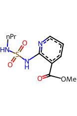 CCCNS(=O)(=O)Nc1ncccc1C(=O)OC